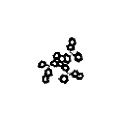 c1ccc(N(c2ccc3c(c2)-c2ccccc2C32c3ccc(N(c4ccccc4)c4ccc5ccccc5c4)cc3-c3cc(N(c4ccccc4)c4ccc5ccccc5c4)ccc32)c2ccc3ccccc3c2)cc1